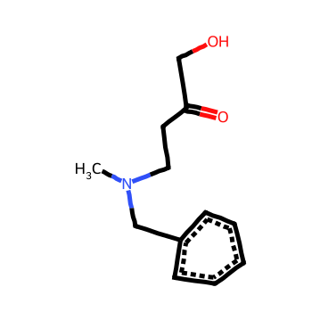 CN(CCC(=O)CO)Cc1ccccc1